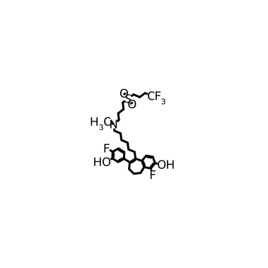 CN(CCCCCCC1=C(c2ccc(F)c(O)c2)CCCc2c1ccc(O)c2F)CCCCS(=O)(=O)CCCC(F)(F)F